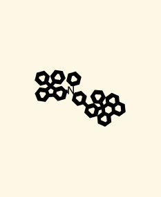 c1ccc(N(c2ccc(-c3cccc(C4(c5ccccc5)c5ccccc5-c5cccc6cccc4c56)c3)cc2)c2ccc3c(c2)C(c2ccccc2)(c2ccccc2)c2ccccc2-3)cc1